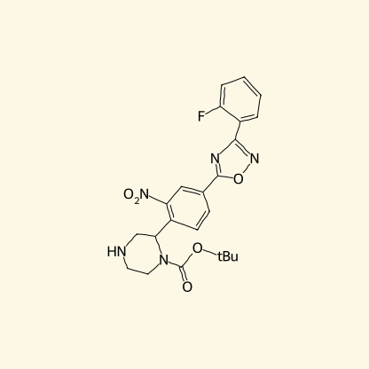 CC(C)(C)OC(=O)N1CCNCC1c1ccc(-c2nc(-c3ccccc3F)no2)cc1[N+](=O)[O-]